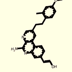 COc1ccc(CCc2cnc3c(N)nc4cc(/C=C/O)ccc4c3c2)c(C)c1